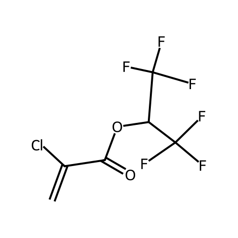 C=C(Cl)C(=O)OC(C(F)(F)F)C(F)(F)F